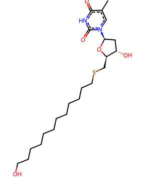 Cc1cn([C@H]2C[C@H](O)[C@@H](CSCCCCCCCCCCCCO)O2)c(=O)[nH]c1=O